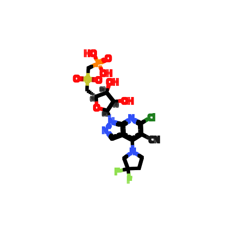 N#Cc1c(Cl)nc2c(cnn2[C@@H]2O[C@H](CS(=O)(=O)CP(=O)(O)O)[C@@H](O)[C@H]2O)c1N1CCC(F)(F)C1